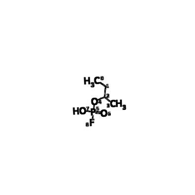 CCC(C)OP(=O)(O)F